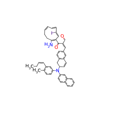 CC/C=C\c1cc(N(c2ccc3ccccc3c2)C2C=Cc3cc(/C=C(/C=O)C(=O)C4=C(/N)CC\C=C/C=C/C(I)=C/4)ccc3C2)ccc1C